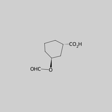 O=CO[C@H]1CCC[C@H](C(=O)O)C1